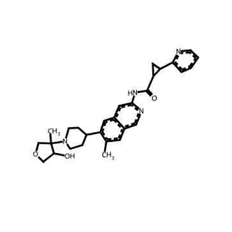 Cc1cc2cnc(NC(=O)C3CC3c3ccccn3)cc2cc1C1CCN(C2(C)COCC2O)CC1